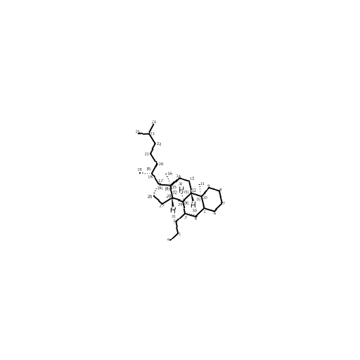 CCCC1CC2CCCC[C@]2(C)[C@H]2CC[C@]3(C)[C@@H]([C@H](C)CCCC(C)C)CC[C@H]3[C@H]12